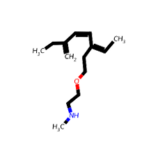 C=C(/C=C\C(=C/C)CCOCCNC)CC